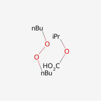 CC(C)OC(=O)O.CCCCOOCCCC